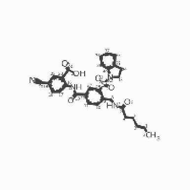 CCCCCC(=O)NCc1ccc(C(=O)Nc2ccc(C#N)cc2C(=O)O)cc1S(=O)(=O)N1CCc2ccccc21